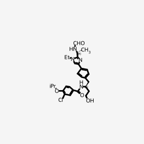 CCn1cc(-c2ccc(C[C@@H](CCO)NC(=O)c3ccc(OC(C)C)c(Cl)c3)cc2)nc1[C@@H](C)NC=O